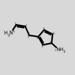 N/C=C\CC1=CC(N)C=C1